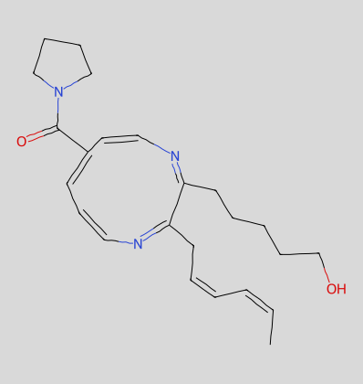 C/C=C\C=C/Cc1ncccc(C(=O)N2CCCC2)ccnc1CCCCCO